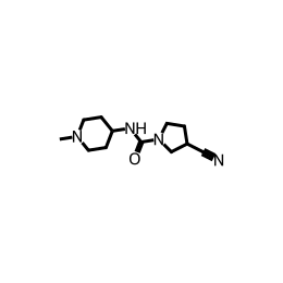 CN1CCC(NC(=O)N2CCC(C#N)C2)CC1